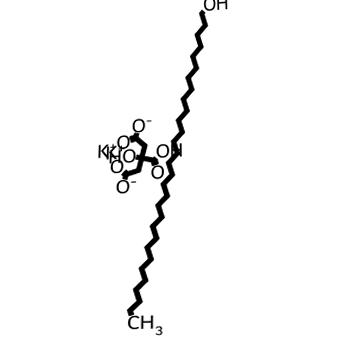 CCCCCCCCCCCCCCCCCCCCCCCCCCCCCCO.O=C([O-])CC(O)(CC(=O)[O-])C(=O)O.[K+].[K+]